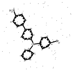 Nc1ccc(-c2ccc(N(c3ccccc3)c3ccc(Br)cc3)cc2)cc1